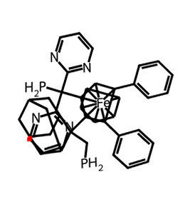 PCC1([C]23[C]4(c5ccccc5)[C]5(c6ccccc6)[CH]6[C]2(C(P)(c2ncccn2)c2ncccn2)[Fe]65432789[CH]3[CH]2[CH]7[CH]8[CH]39)C2CC3CC(C2)CC1C3